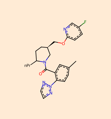 CCCC1CC[C@@H](COc2ccc(F)cn2)CN1C(=O)c1cc(C)ccc1-n1nccn1